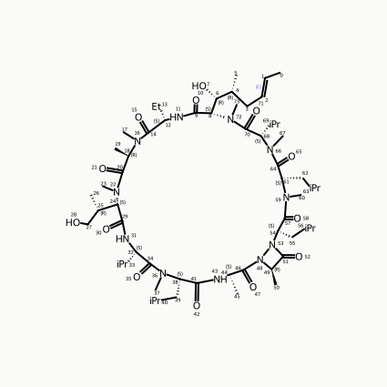 C/C=C/C[C@@H](C)[C@@H](O)[C@H]1C(=O)N[C@@H](CC)C(=O)N(C)[C@H](C)C(=O)N(C)[C@@H]([C@@H](C)CO)C(=O)N[C@@H](C(C)C)C(=O)N(C)[C@@H](CC(C)C)C(=O)N[C@@H](C)C(=O)N2[C@H](C)C(=O)N2[C@@H](CC(C)C)C(=O)N(C)[C@@H](CC(C)C)C(=O)N(C)[C@@H](C(C)C)C(=O)N1C